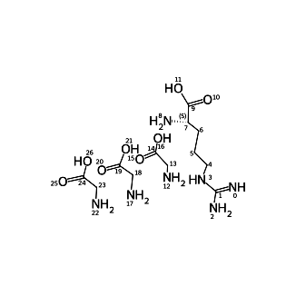 N=C(N)NCCC[C@H](N)C(=O)O.NCC(=O)O.NCC(=O)O.NCC(=O)O